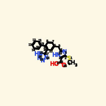 CSc1nc(Cc2ccc(-c3ccccc3)c(-c3nnn[nH]3)c2)[nH]c1C(=O)O